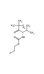 CC(C)[C@H](NC(=O)OCCF)C(=O)C(C)(C)C